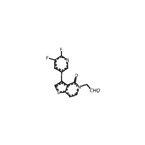 O=CCn1ccc2scc(-c3cnc(F)c(F)c3)c2c1=O